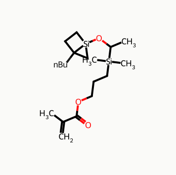 C=C(C)C(=O)OCCC[Si](C)(C)C(C)O[Si]12CCC1(CCCC)C2